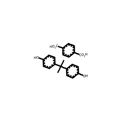 CC(C)(c1ccc(O)cc1)c1ccc(O)cc1.O=C(O)c1ccc(C(=O)O)cc1